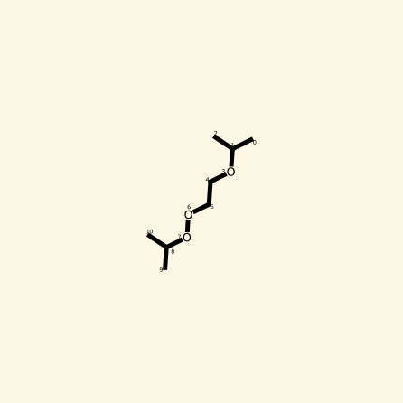 CC(C)OCCOOC(C)C